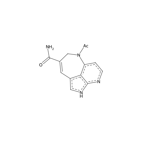 CC(=O)N1CC(C(N)=O)=Cc2c[nH]c3nccc1c23